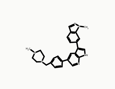 CN1CCN(Cc2ccc(-c3cnc4[nH]cc(-c5ccc6cnn(C)c6c5)c4c3)cc2)CC1